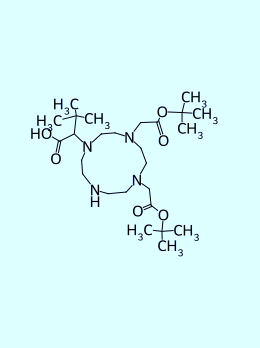 CC(C)(C)OC(=O)CN1CCNCCN(C(C(=O)O)C(C)(C)C)CCN(CC(=O)OC(C)(C)C)CC1